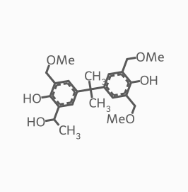 COCc1cc(C(C)(C)c2cc(COC)c(O)c(C(C)O)c2)cc(COC)c1O